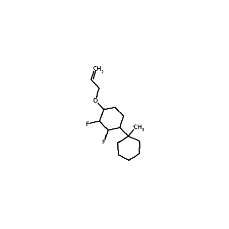 C=CCOC1CCC(C2(C)CCCCC2)C(F)C1F